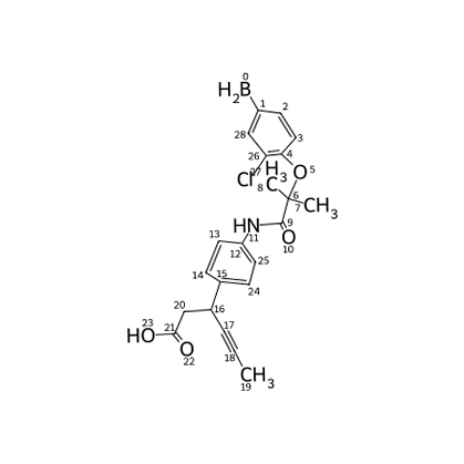 Bc1ccc(OC(C)(C)C(=O)Nc2ccc(C(C#CC)CC(=O)O)cc2)c(Cl)c1